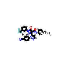 CC[C@H]1CC[C@H](NC(=O)c2c(-c3ccnn3-c3ccc(C#N)cc3)n(C)n(-c3cccc(C(F)(F)F)c3)c2=O)CC1